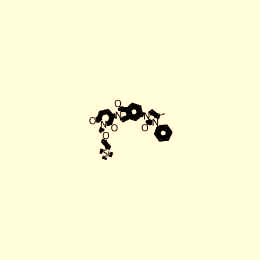 C[C@H]1CN(c2ccc3c(c2)CN(C2CCC(=O)N(COCC[Si](C)(C)C)C2=O)C3=O)C(=O)N1c1ccccc1